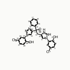 Oc1ccc(Cl)cc1N1C=C(CC(O)(c2ccccc2)c2cn(-c3cc(Cl)ccc3O)nn2)NN1